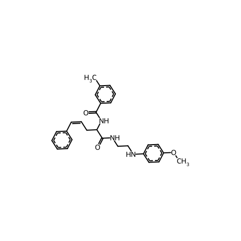 COc1ccc(NCCNC(=O)C(C/C=C\c2ccccc2)NC(=O)c2cccc(C)c2)cc1